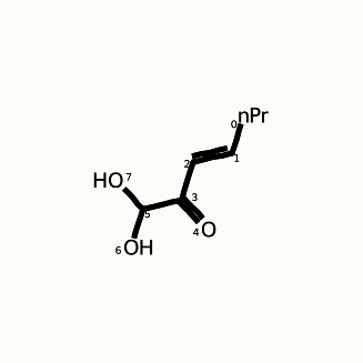 CCCC=CC(=O)C(O)O